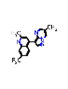 Cc1cnc2c(-c3cc(C)nc4cc(C(F)(F)F)ccc34)cnn2c1